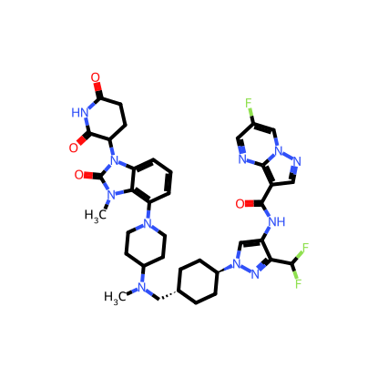 CN(C[C@H]1CC[C@H](n2cc(NC(=O)c3cnn4cc(F)cnc34)c(C(F)F)n2)CC1)C1CCN(c2cccc3c2n(C)c(=O)n3C2CCC(=O)NC2=O)CC1